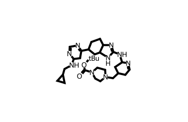 CC(C)(C)OC(=O)N1CCN(CC2CC=NC(NC3=NC4CCC(C5=NC=NC(NCC6CC6)C5)CC4N3)C2)CC1